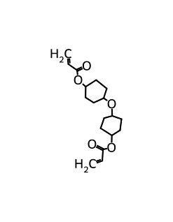 C=CC(=O)OC1CCC(OC2CCC(OC(=O)C=C)CC2)CC1